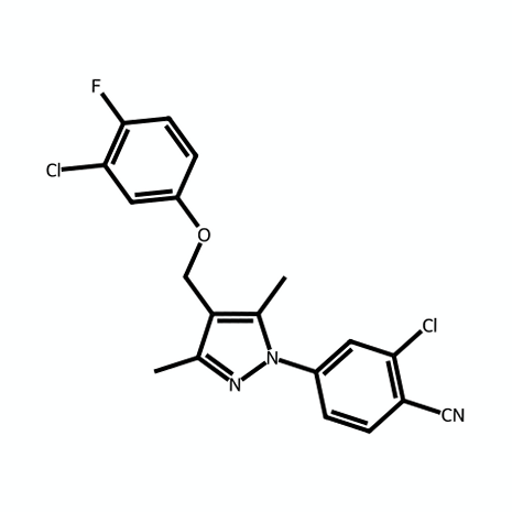 Cc1nn(-c2ccc(C#N)c(Cl)c2)c(C)c1COc1ccc(F)c(Cl)c1